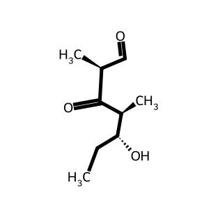 CC[C@@H](O)[C@H](C)C(=O)[C@@H](C)C=O